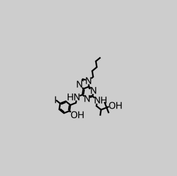 CCCCCn1cnc2c(NCc3cc(I)ccc3O)nc(NCC(C)C(C)(C)O)nc21